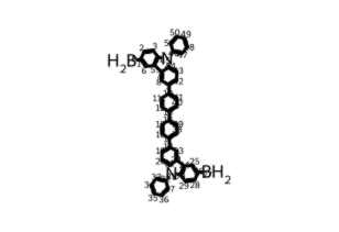 Bc1ccc2c(c1)c1cc(-c3ccc(-c4ccc(-c5ccc6c(c5)c5cc(B)ccc5n6-c5ccccc5)cc4)cc3)ccc1n2-c1ccccc1